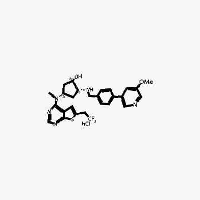 COc1cncc(-c2ccc(CN[C@@H]3C[C@H](N(C)c4ncnc5sc(CC(F)(F)F)cc45)C[C@H]3O)cc2)c1.Cl